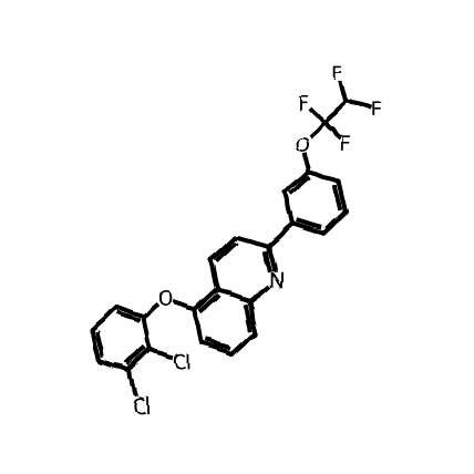 FC(F)C(F)(F)Oc1cccc(-c2ccc3c(Oc4cccc(Cl)c4Cl)cccc3n2)c1